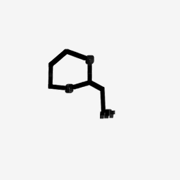 [CH2]CCCC1OCCCO1